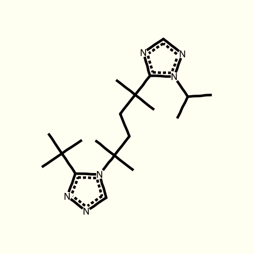 CC(C)n1ncnc1C(C)(C)CCC(C)(C)n1cnnc1C(C)(C)C